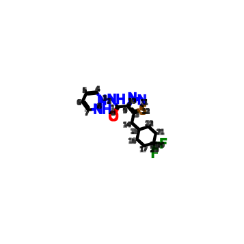 O=C(NN1C=CC=CN1)c1nnsc1CC1CCC(F)(F)CC1